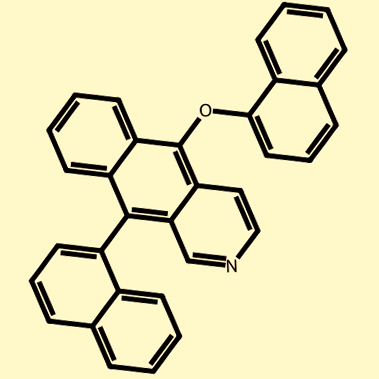 c1ccc2c(Oc3c4ccccc4c(-c4cccc5ccccc45)c4cnccc34)cccc2c1